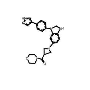 O=C(C1CN(c2ccc3c(c2)N(c2ccc(-c4cn[nH]c4)cc2)CN3)C1)N1CCOCC1